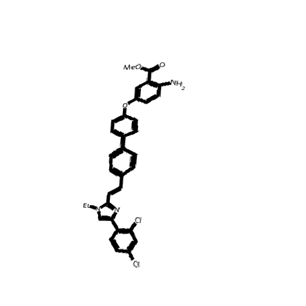 CCn1cc(-c2ccc(Cl)cc2Cl)nc1C=Cc1ccc(-c2ccc(Oc3ccc(N)c(C(=O)OC)c3)cc2)cc1